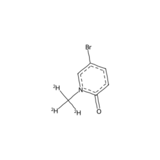 [2H]C([2H])([2H])n1cc(Br)ccc1=O